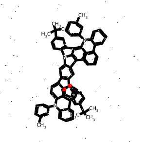 Cc1cccc(N(c2ccccc2-c2ccccc2)c2ccc3c4cc5c(cc4n4c6ccc(C(C)(C)C)cc6c2c34)c2ccc(N(c3cccc(C)c3)c3ccccc3-c3ccccc3)c3c4cc(C(C)(C)C)ccc4n5c23)c1